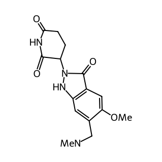 CNCc1cc2[nH]n(C3CCC(=O)NC3=O)c(=O)c2cc1OC